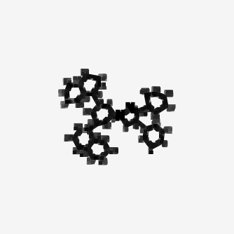 c1ccc(-c2cn(-c3cc(-c4cccc5ccccc45)cc(-c4cccc5ccccc45)c3)nc2-c2ccccc2)cc1